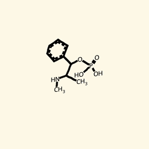 CNC(C)C(OP(=O)(O)O)c1ccccc1